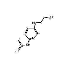 O=[SH](=O)Nc1ccc(NCCO)cc1